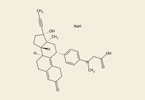 CC#C[C@]1(O)CC[C@H]2[C@@H]3CCC4=CC(=O)CCC4=C3[C@@H](c3ccc(N(C)CC(=O)O)cc3)C[C@@]21C.[NaH]